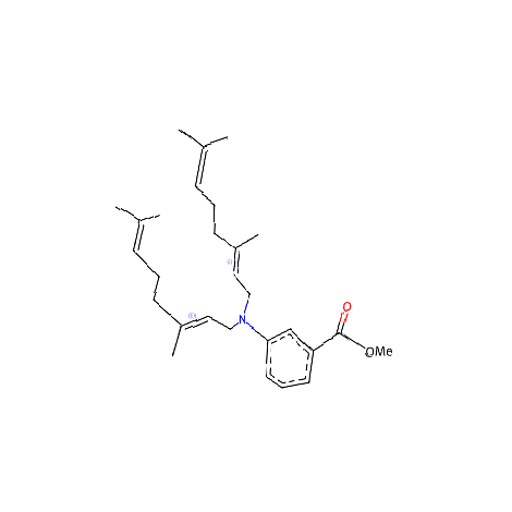 COC(=O)c1cccc(N(C/C=C(\C)CCC=C(C)C)C/C=C(\C)CCC=C(C)C)c1